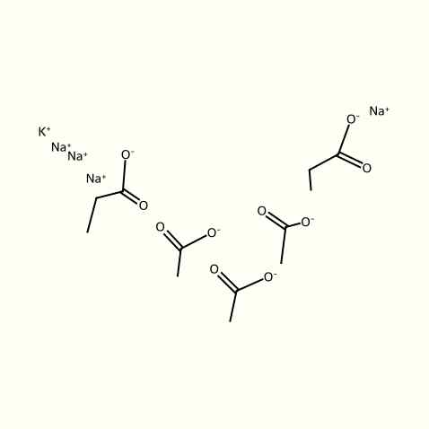 CC(=O)[O-].CC(=O)[O-].CC(=O)[O-].CCC(=O)[O-].CCC(=O)[O-].[K+].[Na+].[Na+].[Na+].[Na+]